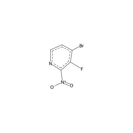 O=[N+]([O-])c1nccc(Br)c1F